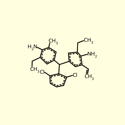 C=Cc1cc(C(c2cc(C)c(N)c(CC)c2)c2c(Cl)cccc2Cl)cc(CC)c1N